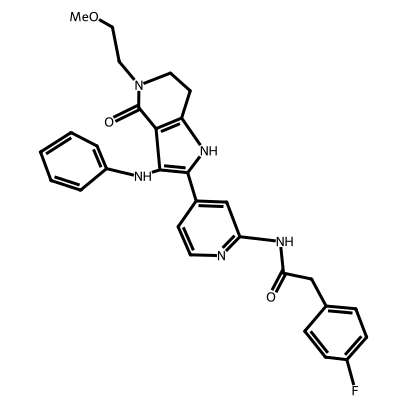 COCCN1CCc2[nH]c(-c3ccnc(NC(=O)Cc4ccc(F)cc4)c3)c(Nc3ccccc3)c2C1=O